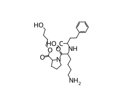 NCCCCC(NC(CCc1ccccc1)C(=O)O)C(=O)N1CCCC1C(=O)OCCCCO